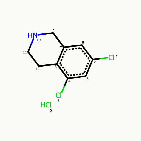 Cl.Clc1cc(Cl)c2c(c1)CNCC2